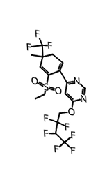 CCS(=O)(=O)C1=CC(C)(C(F)(F)F)CC=C1c1cc(OCC(F)(F)C(F)C(F)(F)F)ncn1